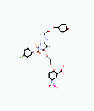 COc1ccc(COC[C@H](C)NC[C@@H](C)[C@@](C)(OCCCOc2ccc([N+](=O)[O-])cc2C(=O)O)N(C)S(=O)(=O)c2ccc(F)cc2)cc1